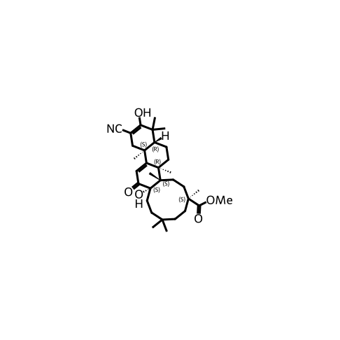 COC(=O)[C@@]1(C)CCC(C)(C)CC[C@@]2(O)C(=O)C=C3[C@@]4(C)CC(C#N)=C(O)C(C)(C)[C@@H]4CC[C@@]3(C)[C@]2(C)CC1